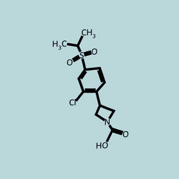 CC(C)S(=O)(=O)c1ccc(C2CN(C(=O)O)C2)c(Cl)c1